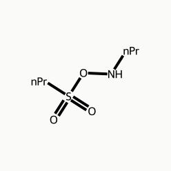 CCCNOS(=O)(=O)CCC